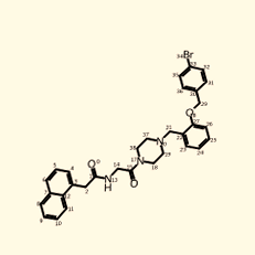 O=C(Cc1cccc2ccccc12)NCC(=O)N1CCN(Cc2ccccc2OCc2ccc(Br)cc2)CC1